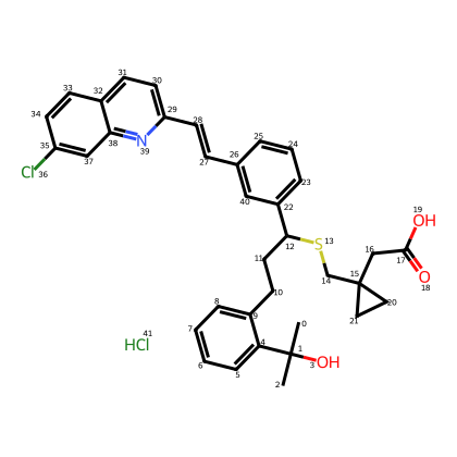 CC(C)(O)c1ccccc1CCC(SCC1(CC(=O)O)CC1)c1cccc(C=Cc2ccc3ccc(Cl)cc3n2)c1.Cl